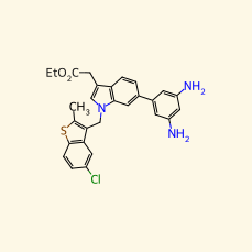 CCOC(=O)Cc1cn(Cc2c(C)sc3ccc(Cl)cc23)c2cc(-c3cc(N)cc(N)c3)ccc12